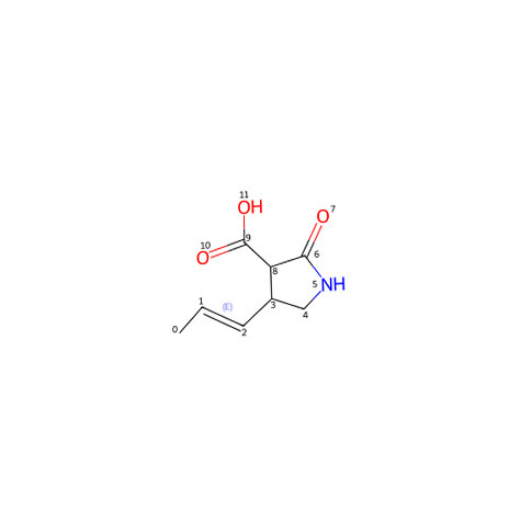 C/C=C/C1CNC(=O)C1C(=O)O